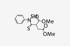 COC(=O)CC(C(=O)OC)C(=S)N(S)c1ccccc1